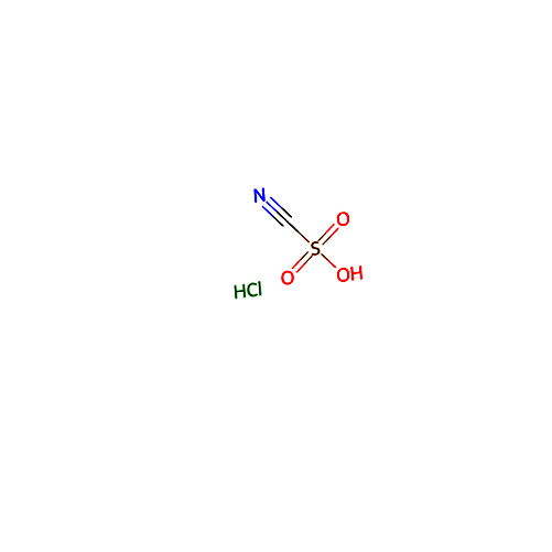 Cl.N#CS(=O)(=O)O